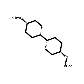 CCCCCCCCCCO[C@H]1CC[C@H]([C@H]2CC[C@H](CCCCCCC)CC2)CC1